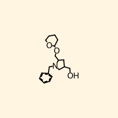 OCC1CC(COC2CCCCO2)N(Cc2ccccc2)C1